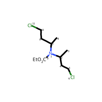 CCOC(=O)N(C(C)CCCl)C(C)CCCl